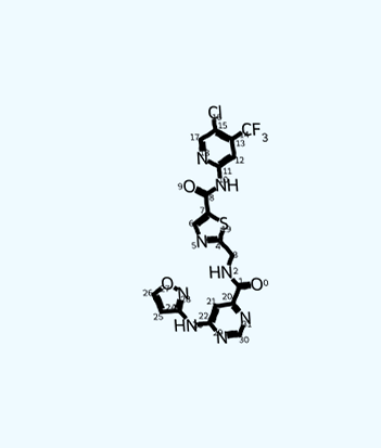 O=C(NCc1ncc(C(=O)Nc2cc(C(F)(F)F)c(Cl)cn2)s1)c1cc(Nc2ccon2)ncn1